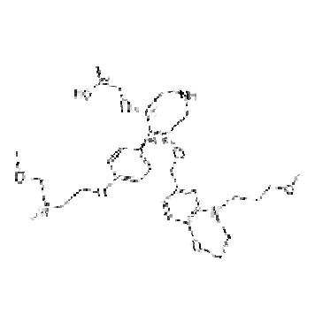 COCCCN1CCOc2ccc(CO[C@H]3CNC[C@@H](OC[C@H](C)O)[C@@H]3c3ccc(OCC[C@H](C)COC)cc3)cc21